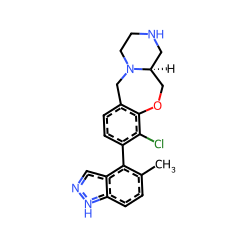 Cc1ccc2[nH]ncc2c1-c1ccc2c(c1Cl)OC[C@@H]1CNCCN1C2